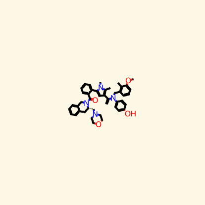 C=C(c1cc(-c2ccccc2C(=O)N2Cc3ccccc3C[C@H]2CN2CCOCC2)n(C)c1C)N(Cc1cccc(OC)c1C)c1ccc(O)cc1